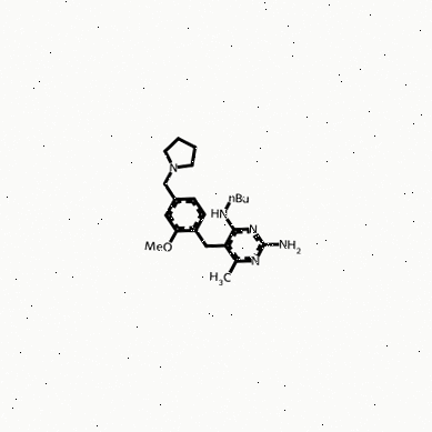 CCCCNc1nc(N)nc(C)c1Cc1ccc(CN2CCCC2)cc1OC